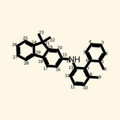 Cc1ccccc1-c1c(C)cccc1Nc1ccc2c(c1)C(C)(C)c1ccccc1-2